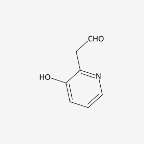 O=CCc1ncccc1O